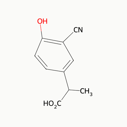 CC(C(=O)O)c1ccc(O)c(C#N)c1